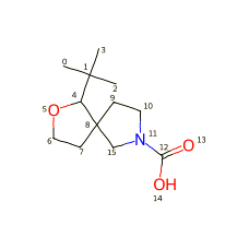 CC(C)(C)C1OCCC12CCN(C(=O)O)C2